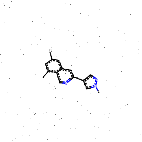 CCc1cc(C)c2cnc(-c3cnn(C)c3)cc2c1